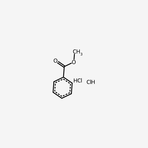 COC(=O)c1ccccc1.Cl.Cl